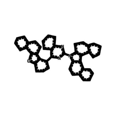 c1ccc2c(c1)ccc1c2oc2cccc(-c3nc(-n4c5ccc6ccccc6c5c5c6ccccc6ccc54)nc4ccccc34)c21